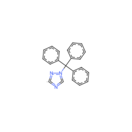 [c]1ncn(C(c2ccccc2)(c2ccccc2)c2ccccc2)n1